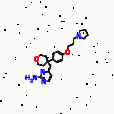 Nc1nccc(CC2(c3ccc(OCCCN4CCCC4)cc3)CCOCC2)n1